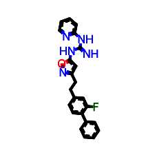 N=C(Nc1ccccn1)Nc1cc(CCc2ccc(-c3ccccc3)c(F)c2)no1